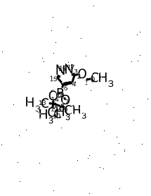 CCOc1cc(B2OC(C)(C)C(C)(C)O2)cnn1